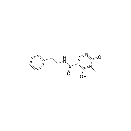 Cn1c(O)c(C(=O)NCCc2ccccc2)cnc1=O